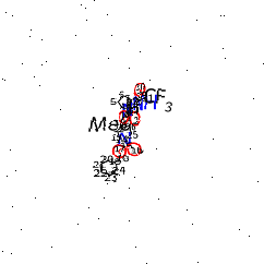 COC(=O)N1C2CCC([C@H]2COC2CCN(C(=O)OCc3ccccc3)CC2)[C@H]1NC(=O)C(F)(F)F